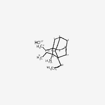 CCC12CC3CC(C1)CC(CC)(C3)C2(N)CC.Cl